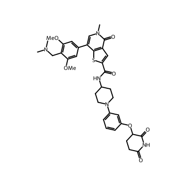 COc1cc(-c2cn(C)c(=O)c3cc(C(=O)NC4CCN(c5cccc(OC6CCC(=O)NC6=O)c5)CC4)sc23)cc(OC)c1CN(C)C